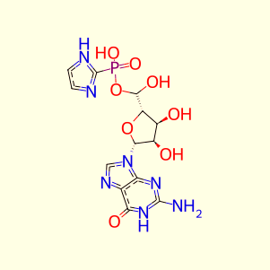 Nc1nc2c(ncn2[C@@H]2O[C@H](C(O)OP(=O)(O)c3ncc[nH]3)[C@@H](O)[C@H]2O)c(=O)[nH]1